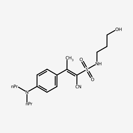 CCCN(CCC)c1ccc(/C(C)=C(\C#N)S(=O)(=O)NCCCO)cc1